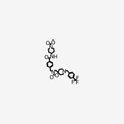 COC(=O)N1CCC(NC(=O)c2ccc(CN3CC4(CCN(Cc5ccc(C(F)(F)F)cc5)CC4)OC3=O)cc2)CC1